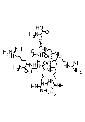 CC(=O)N[C@H](CSSC[C@H](N)C(=O)O)C(=O)N[C@H](C)C(=O)N[C@H](CCCNC(=N)N)C(=O)C[C@H](CCCNC(=N)N)C(=O)N[C@H](CCCNC(=N)N)C(=O)N[C@H](C)C(=O)N[C@H](CCCNC(=N)N)C(N)=O